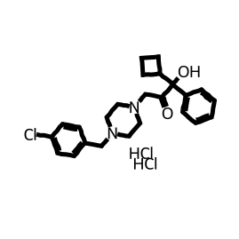 Cl.Cl.O=C(CN1CCN(Cc2ccc(Cl)cc2)CC1)C(O)(c1ccccc1)C1CCC1